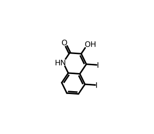 O=c1[nH]c2cccc(I)c2c(I)c1O